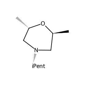 CCC[C@@H](C)N1C[C@H](C)O[C@@H](C)C1